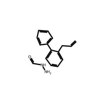 C=CCc1ccccc1-c1ccccc1.NNC=O